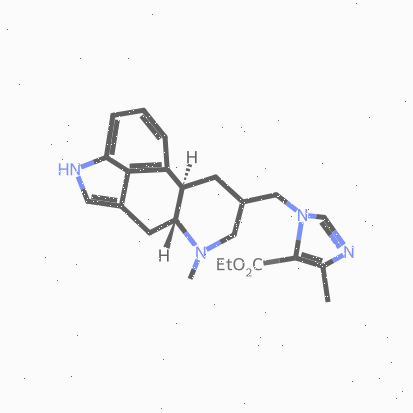 CCOC(=O)c1c(C)ncn1CC1C[C@@H]2c3cccc4[nH]cc(c34)C[C@H]2N(C)C1